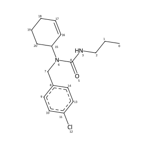 CCCNC(=O)N(Cc1ccc(Cl)cc1)C1C=CCCC1